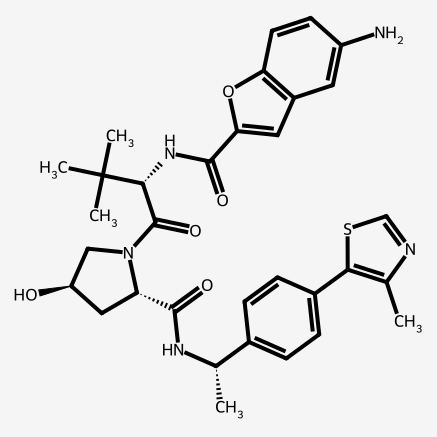 Cc1ncsc1-c1ccc([C@H](C)NC(=O)[C@@H]2C[C@@H](O)CN2C(=O)[C@@H](NC(=O)c2cc3cc(N)ccc3o2)C(C)(C)C)cc1